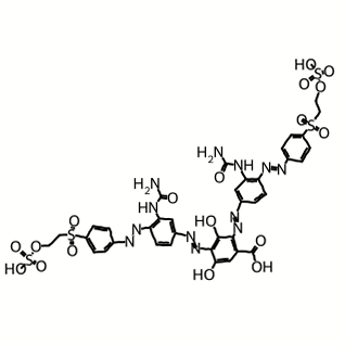 NC(=O)Nc1cc(N=Nc2c(O)cc(C(=O)O)c(N=Nc3ccc(N=Nc4ccc(S(=O)(=O)CCOS(=O)(=O)O)cc4)c(NC(N)=O)c3)c2O)ccc1N=Nc1ccc(S(=O)(=O)CCOS(=O)(=O)O)cc1